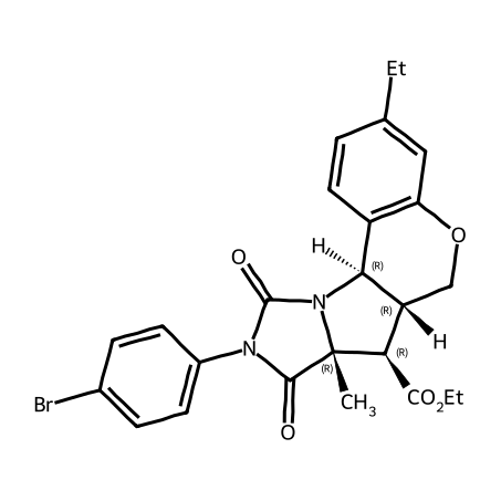 CCOC(=O)[C@@H]1[C@H]2COc3cc(CC)ccc3[C@@H]2N2C(=O)N(c3ccc(Br)cc3)C(=O)[C@@]12C